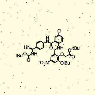 CC(C)COc1cc([N+](=O)[O-])cc(CNc2ccc(Cl)cc2C(=O)Nc2ccc(C(=N)NC(=O)OC(C)(C)C)cc2)c1OCC(=O)OC(C)(C)C